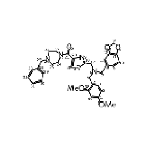 COc1ccc(CN(Cc2ccc3c(c2)OCO3)Cc2nc(C(=O)N3CCN(Cc4ccccc4)CC3)cs2)c(OC)c1